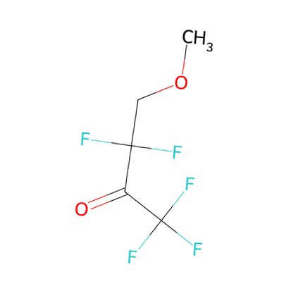 COCC(F)(F)C(=O)C(F)(F)F